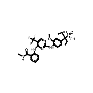 CCC(CC)(c1ccc(Nc2ncc(C(F)(F)F)c(Nc3cccnc3C(=O)NC)n2)c(OC)c1)P(=O)(O)O